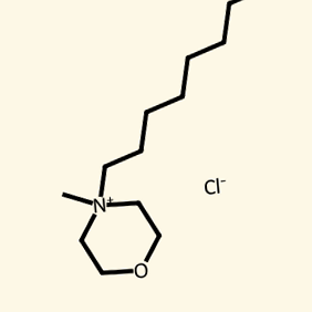 CCCCCCCC[N+]1(C)CCOCC1.[Cl-]